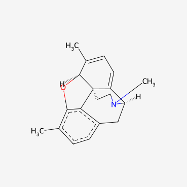 CC1=CC=C2[C@H]3Cc4ccc(C)c5c4[C@@]2(CCN3C)[C@H]1O5